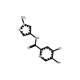 CC(C)c1cnc(C(=O)Nc2cnn(C)c2)cc1Cl